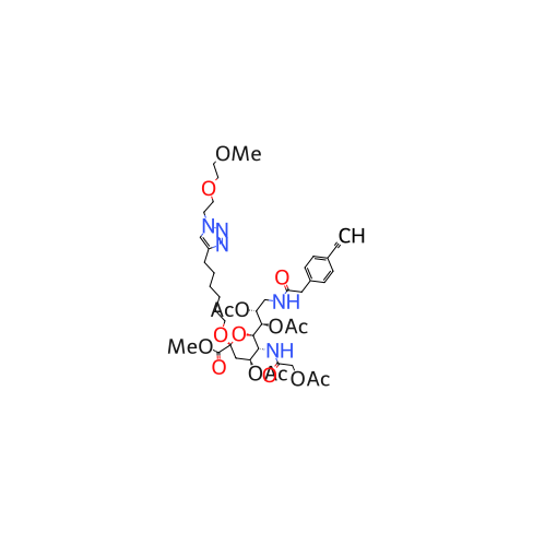 C#Cc1ccc(CC(=O)NC[C@@H](OC(C)=O)[C@@H](OC(C)=O)[C@@H]2O[C@@](OCCCCCCc3cn(CCOCCOC)nn3)(C(=O)OC)C[C@H](OC(C)=O)[C@H]2NC(=O)COC(C)=O)cc1